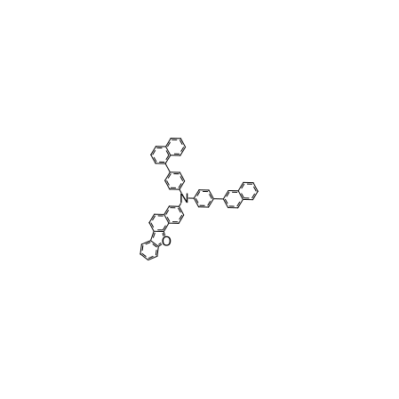 c1ccc2cc(-c3ccc(N(c4ccc(-c5cccc6ccccc56)cc4)c4ccc5c(ccc6c7ccccc7oc56)c4)cc3)ccc2c1